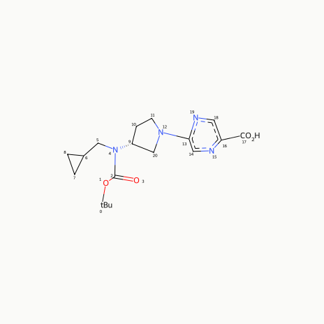 CC(C)(C)OC(=O)N(CC1CC1)[C@@H]1CCN(c2cnc(C(=O)O)cn2)C1